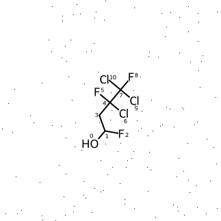 OC(F)CC(F)(Cl)C(F)(Cl)Cl